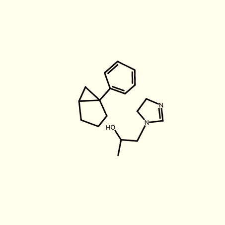 CC(O)CN1C=NCC1.c1ccc(C23CCCC2C3)cc1